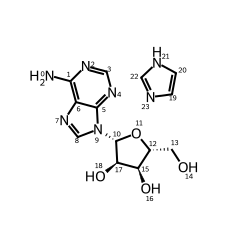 Nc1ncnc2c1ncn2[C@@H]1O[C@H](CO)[C@@H](O)[C@H]1O.c1c[nH]cn1